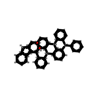 c1ccc(N2c3ccccc3B3c4ccccc4N(c4ccccc4-c4cccc5oc6ccccc6c45)c4cccc2c43)cc1